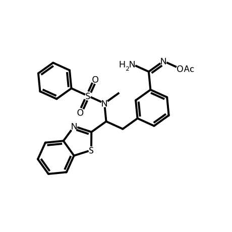 CC(=O)O/N=C(/N)c1cccc(CC(c2nc3ccccc3s2)N(C)S(=O)(=O)c2ccccc2)c1